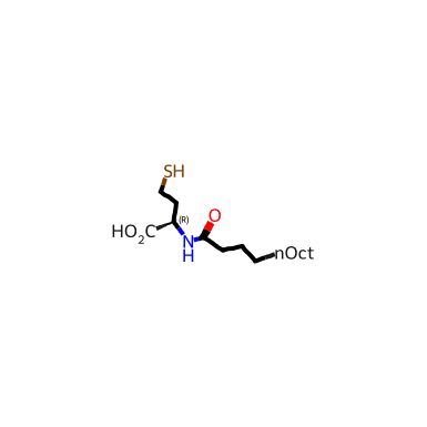 CCCCCCCCCCCC(=O)N[C@H](CCS)C(=O)O